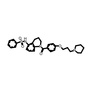 O=C(c1ccc(OCCCN2CCCCC2)cc1)N1CCCc2c(NS(=O)(=O)c3ccccc3)cccc21